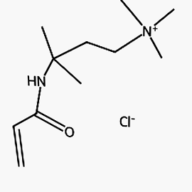 C=CC(=O)NC(C)(C)CC[N+](C)(C)C.[Cl-]